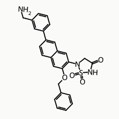 NCc1cccc(-c2ccc3cc(OCc4ccccc4)c(N4CC(=O)NS4(=O)=O)cc3c2)c1